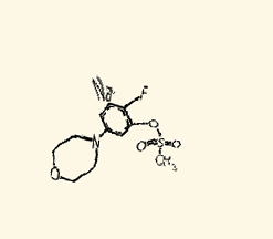 CS(=O)(=O)Oc1cc(N2CCOCC2)ccc1F.[Na]